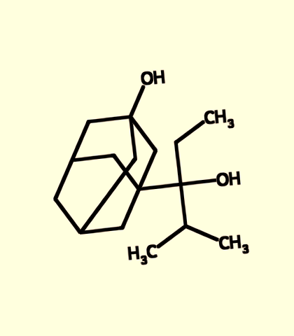 CCC(O)(C(C)C)C12CC3CC(CC(O)(C3)C1)C2